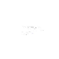 COc1cc(/C=C\c2cc(OC)c(OC)c(OC)c2)c(NS(=O)(=O)c2ccc(F)cc2)cc1OC